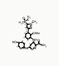 COc1c(Nc2cc(Nc3ccc(C#N)cn3)nnc2C(N)=O)cccc1-c1cc(P(C)(C)=O)n(C)n1